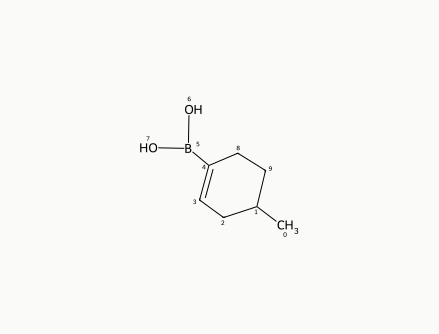 CC1CC=C(B(O)O)CC1